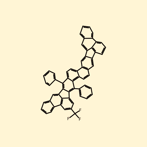 FC(F)(F)c1cc2c3c(cc4ccccc4c3c1)-c1c-2c(-c2ccccc2)c2c(ccc3c4cc5c(cc4ccc32)-c2cccc3c2c-5cc2ccccc23)c1-c1ccccc1